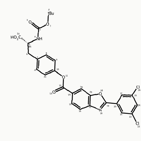 CC(C)(C)OC(=O)N[C@H](Cc1ccc(OC(=O)c2ccc3nc(-c4cc(Cl)cc(Cl)c4)oc3c2)cc1)C(=O)O